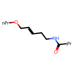 CCCOC/C=C/CCNC(=O)C(C)C